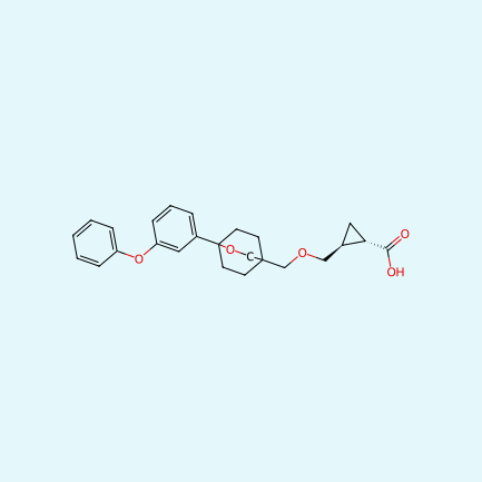 O=C(O)[C@H]1C[C@@H]1COCC12CCC(c3cccc(Oc4ccccc4)c3)(CC1)OC2